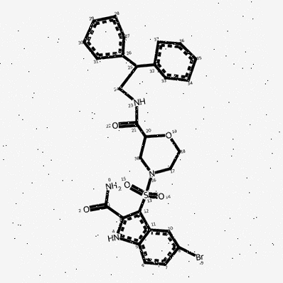 NC(=O)c1[nH]c2ccc(Br)cc2c1S(=O)(=O)N1CCOC(C(=O)NCC(c2ccccc2)c2ccccc2)C1